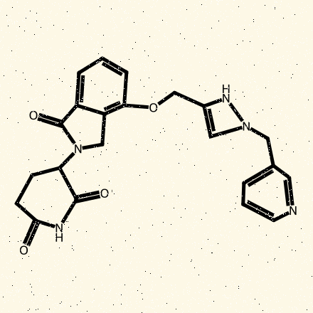 O=C1CCC(N2Cc3c(OCc4cn(Cc5cccnc5)[nH]4)cccc3C2=O)C(=O)N1